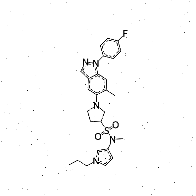 CCCn1ccc(N(C)S(=O)(=O)C2CCN(c3cc4cnn(-c5ccc(F)cc5)c4cc3C)C2)c1